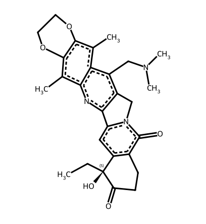 CC[C@@]1(O)C(=O)CCc2c1cc1n(c2=O)Cc2c-1nc1c(C)c3c(c(C)c1c2CN(C)C)OCCO3